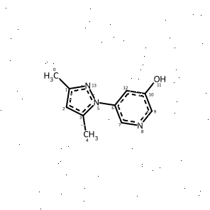 Cc1cc(C)n(-c2cncc(O)c2)n1